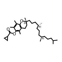 Cc1c(C)c2c(c(C)c1OC(=O)C1CC1)CC[C@@](C)(CCC[C@H](C)CCC[C@H](C)CCCC(C)C)O2